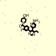 CCc1ncnc(-c2ccc(C(=O)N3CCC(O)CC3)c(F)c2)c1-c1ccc(N)nc1